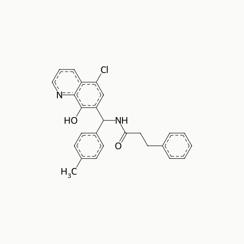 Cc1ccc(C(NC(=O)CCc2ccccc2)c2cc(Cl)c3cccnc3c2O)cc1